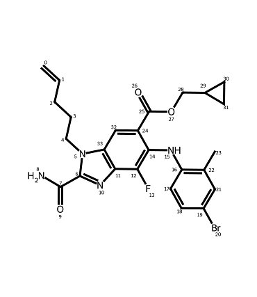 C=CCCCn1c(C(N)=O)nc2c(F)c(Nc3ccc(Br)cc3C)c(C(=O)OCC3CC3)cc21